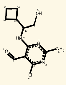 Nc1nc(Cl)c(C=O)c(NC(CO)C2CCC2)n1